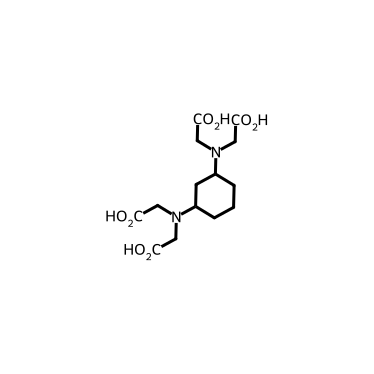 O=C(O)CN(CC(=O)O)C1CCCC(N(CC(=O)O)CC(=O)O)C1